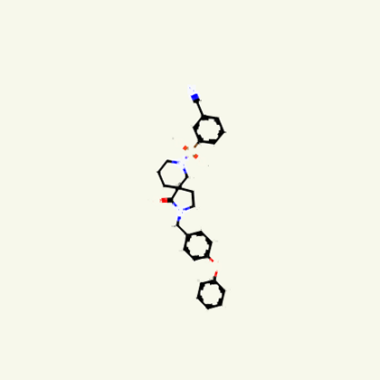 N#Cc1cccc(S(=O)(=O)N2CCCC3(CCN(Cc4ccc(Oc5ccccc5)cc4)C3=O)C2)c1